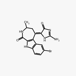 CC1C/C(=C2/NC(N)=NC2=O)c2c([nH]c3ccc(Br)cc23)C(=O)N1